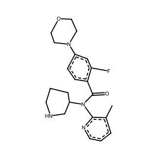 Cc1cccnc1N(C(=O)c1ccc(N2CCOCC2)cc1F)C1CCCNC1